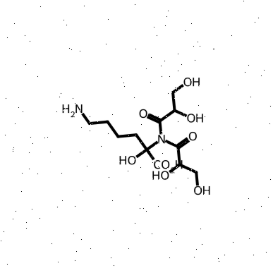 NCCCCC(O)(C(=O)O)N(C(=O)C(O)CO)C(=O)C(O)CO